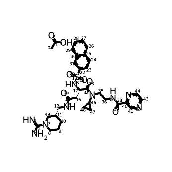 CC(=O)O.N=C(N)N1CCC[C@@H](CNC(=O)C[C@H](NS(=O)(=O)c2ccc3ccccc3c2)C(=O)N(CCNC(=O)c2cnccn2)C2CC2)C1